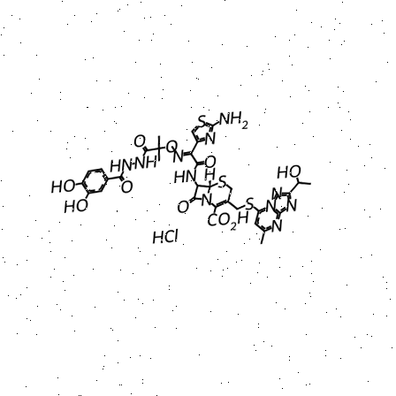 Cc1cc(SCC2=C(C(=O)O)N3C(=O)C(NC(=O)C(=NOC(C)(C)C(=O)NNC(=O)c4ccc(O)c(O)c4)c4csc(N)n4)[C@@H]3SC2)n2nc(C(C)O)nc2n1.Cl